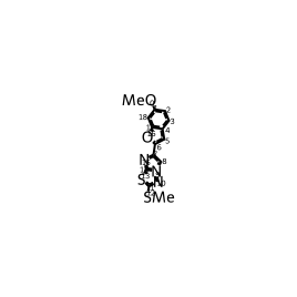 COc1ccc2cc(-c3cn4nc(SC)sc4n3)oc2c1